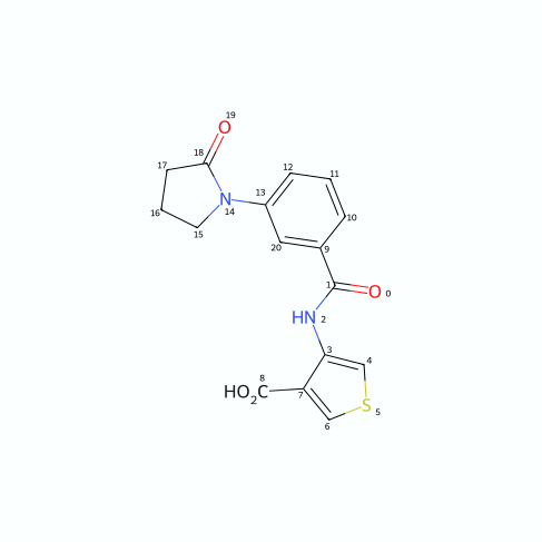 O=C(Nc1cscc1C(=O)O)c1cccc(N2CCCC2=O)c1